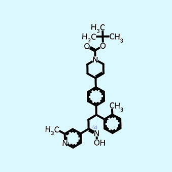 Cc1cc(/C(CC(c2ccc(C3=CCN(C(=O)OC(C)(C)C)CC3)cc2)c2ccccc2C)=N\O)ccn1